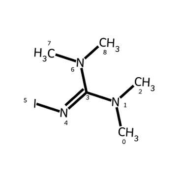 CN(C)C(=NI)N(C)C